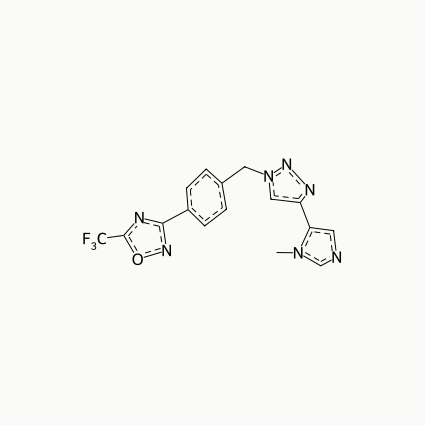 Cn1cncc1-c1cn(Cc2ccc(-c3noc(C(F)(F)F)n3)cc2)nn1